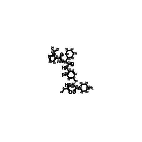 CCC(=O)N[C@H](Cc1ccc(NC(=O)[C@@H](NC(=O)c2ccnn2C(C)C)C2CCCCC2)c(F)c1)C(=O)N1CCN(C)CC1